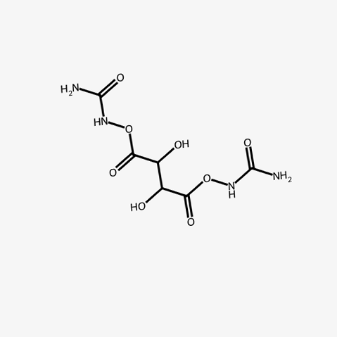 NC(=O)NOC(=O)C(O)C(O)C(=O)ONC(N)=O